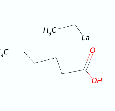 CCCCCC(=O)O.C[CH2][La]